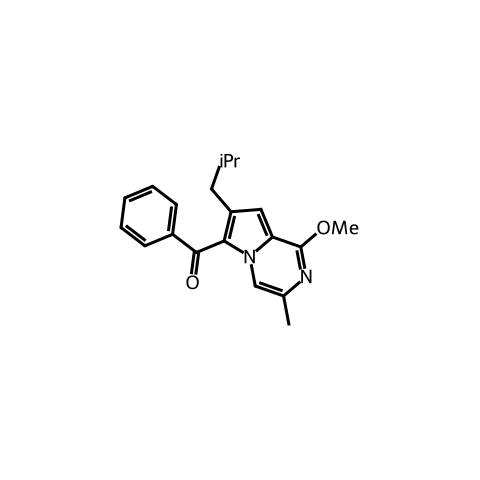 COc1nc(C)cn2c(C(=O)c3ccccc3)c(CC(C)C)cc12